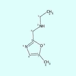 CCNCc1ncc(C)o1